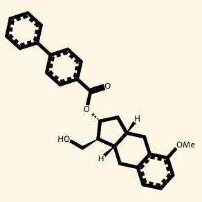 COc1cccc2c1C[C@H]1C[C@@H](OC(=O)c3ccc(-c4ccccc4)cc3)[C@H](CO)[C@H]1C2